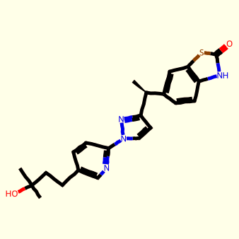 C[C@@H](c1ccc2[nH]c(=O)sc2c1)c1ccn(-c2ccc(CCC(C)(C)O)cn2)n1